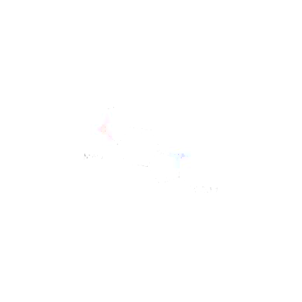 CCOC(=O)c1cc2c([nH]1)CCC(OC)(OCC)C2